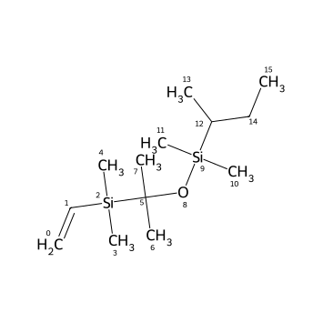 C=C[Si](C)(C)C(C)(C)O[Si](C)(C)C(C)CC